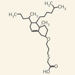 CCCC(C)C1CC=C2CC(OCCCSCC(=O)O)CC[C@]2(C)C1CCCCC(C)C